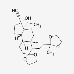 C#C[C@]1(O)CC[C@H]2[C@@H]3CCC4(OCCO4)[C@H](CCC4(C)OCCO4)[C@H]3CC[C@@]21CC